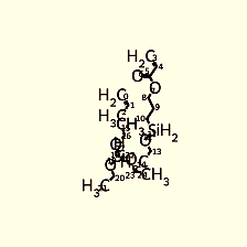 C=CC.C=CC(=O)OCCC[SiH2]OCC.CCO[SiH](OCC)OCC